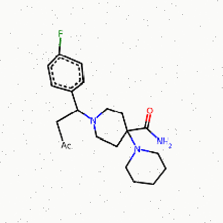 CC(=O)CC(c1ccc(F)cc1)N1CCC(C(N)=O)(N2CCCCC2)CC1